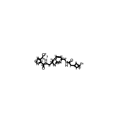 O=C(CC1CC(F)(F)C1)NCc1ccn2cc(CNC(=O)c3nocc3CC(F)(F)F)nc2n1